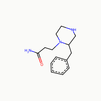 NC(=O)CCN1CCNCC1Cc1ccccc1